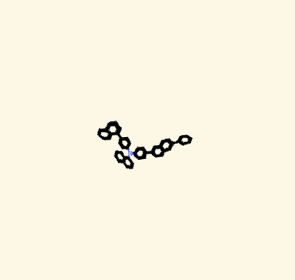 c1ccc(-c2ccc3cc(-c4ccc(N(c5ccc(-c6cccc7ccccc67)cc5)c5cccc6ccccc56)cc4)ccc3c2)cc1